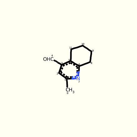 Cc1cc(C=O)c2c(n1)CCCC2